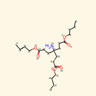 CCCCOC(=O)CCC(N)(CCC(=O)OCCCC)CCC(=O)OCCCC